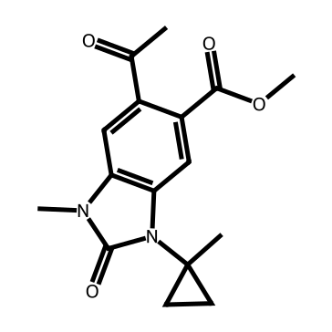 COC(=O)c1cc2c(cc1C(C)=O)n(C)c(=O)n2C1(C)CC1